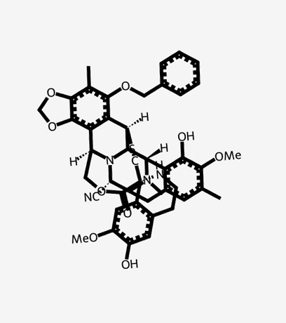 COc1cc2c(cc1O)CCN[C@]21CS[C@@H]2c3c(OCc4ccccc4)c(C)c4c(c3[C@H](COC1=O)N1C2[C@@H]2c3c(cc(C)c(OC)c3O)CC([C@@H]1C#N)N2C)OCO4